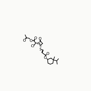 CC(=O)COC(=O)C(Cl)N1C(=O)C[C@@H]1SC=CC(=O)OC1CCCC(C)(C(C)C)C1